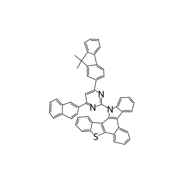 CC1(C)c2ccccc2-c2ccc(-c3cc(-c4ccc5ccccc5c4)nc(-n4c5ccccc5c5c6ccccc6c6sc7ccccc7c6c54)n3)cc21